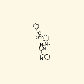 CCN(c1nccc(-n2cnc3ccccc32)n1)C1CCCN(C(=O)OCc2ccccc2)C1